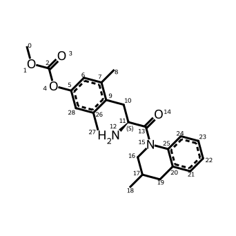 COC(=O)Oc1cc(C)c(C[C@H](N)C(=O)N2CC(C)Cc3ccccc32)c(C)c1